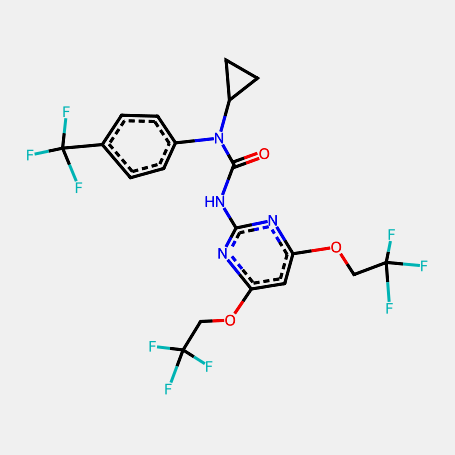 O=C(Nc1nc(OCC(F)(F)F)cc(OCC(F)(F)F)n1)N(c1ccc(C(F)(F)F)cc1)C1CC1